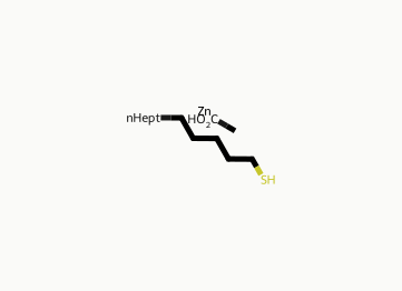 CC(=O)O.CCCCCCCCCCCCS.[Zn]